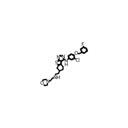 Fc1cccc(COc2ccc(Nc3ncnc4sc5c(c34)CCC(CCNCCN3CCOCC3)C5)cc2Cl)c1